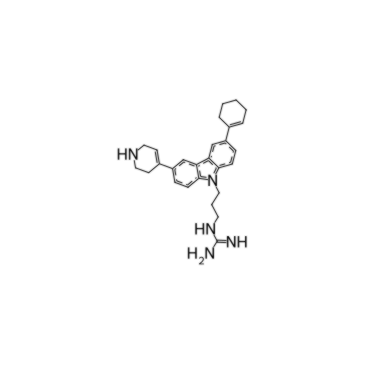 N=C(N)NCCCn1c2ccc(C3=CCCCC3)cc2c2cc(C3=CCNCC3)ccc21